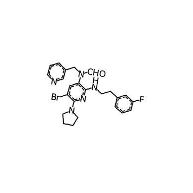 O=CN(Cc1cccnc1)c1cc(Br)c(N2CCCC2)nc1NCCc1cccc(F)c1